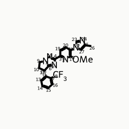 COc1nc(-c2nc3n(n2)CC[C@H]3c2ccccc2C(F)(F)F)ccc1-n1cnc(C)c1